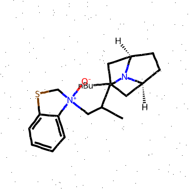 CCCCC1C[C@H]2CC[C@@H](C1)N2CC(C)C[N+]1([O-])CSc2ccccc21